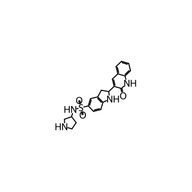 O=c1[nH]c2ccccc2cc1C1Cc2cc(S(=O)(=O)NC3CCNC3)ccc2N1